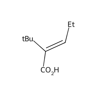 CCC=C(C(=O)O)C(C)(C)C